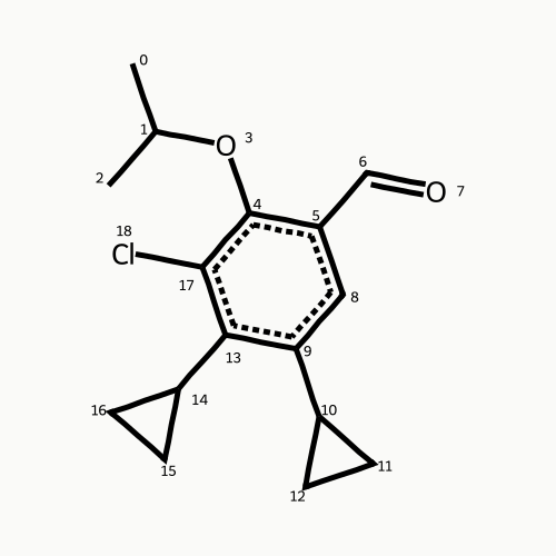 CC(C)Oc1c(C=O)cc(C2CC2)c(C2CC2)c1Cl